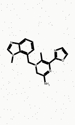 CC1=C(c2ncco2)N=C(N)CN1Cc1cccc2ncn(C)c12